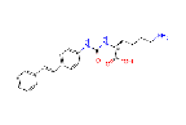 NCCCC[C@H](NC(=O)Nc1ccc(C=Cc2ccccc2)cc1)C(=O)O